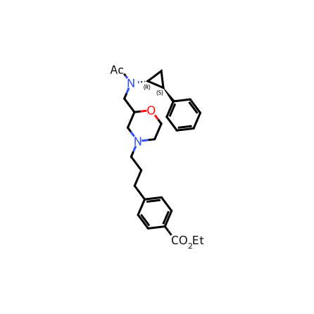 CCOC(=O)c1ccc(CCCN2CCOC(CN(C(C)=O)[C@@H]3C[C@H]3c3ccccc3)C2)cc1